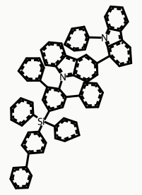 c1ccc(-c2ccc([Si](c3ccccc3)(c3ccccc3)c3cc(-c4ccccc4)c(-n4c5ccccc5c5cc(-c6cccc7c8ccccc8n(-c8ccccc8)c67)ccc54)c(-c4ccccc4)c3)cc2)cc1